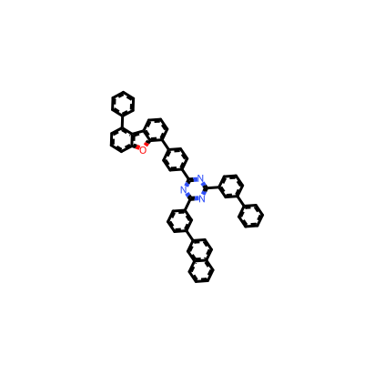 c1ccc(-c2cccc(-c3nc(-c4ccc(-c5cccc6c5oc5cccc(-c7ccccc7)c56)cc4)nc(-c4cccc(-c5ccc6ccccc6c5)c4)n3)c2)cc1